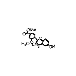 COC(=O)c1ccc(-c2ccc3cc(O)ccc3n2)c(N(C)C)c1